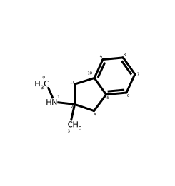 CNC1(C)Cc2ccccc2C1